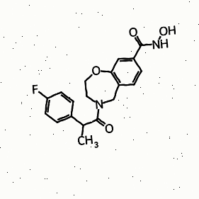 CC(C(=O)N1CCOc2cc(C(=O)NO)ccc2C1)c1ccc(F)cc1